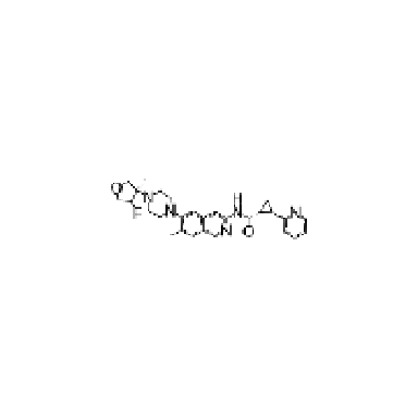 Cc1cc2cnc(NC(=O)[C@@H]3C[C@H]3c3ccccn3)cc2cc1N1CCN([C@]2(C)COC[C@@H]2F)CC1